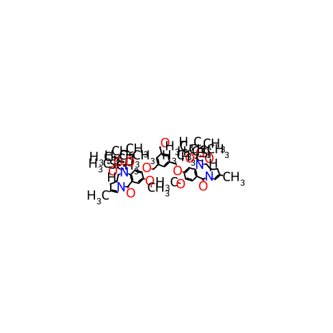 COc1cc2c(cc1OCc1cc(C=O)cc(COc3cc4c(cc3OC)C(=O)N3C=C(C)C[C@H]3[C@H](O[Si](C)(C)C(C)(C)C)N4C(=O)OC(C)(C)C)c1)N(C(=O)OC(C)(C)C)[C@@H](O[Si](C)(C)C(C)(C)C)[C@@H]1CC(C)=CN1C2=O